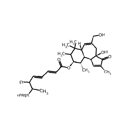 CCCCCCCC(C)C(/C=C/C=C/C(=O)O[C@H]1C(C)C(C)(C)[C@@H]2C=C(CO)C[C@]3(O)C(=O)C(C)=CC3C2[C@@H]1C)CC